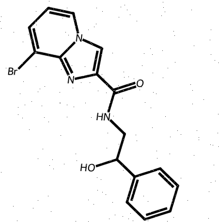 O=C(NCC(O)c1ccccc1)c1cn2cccc(Br)c2n1